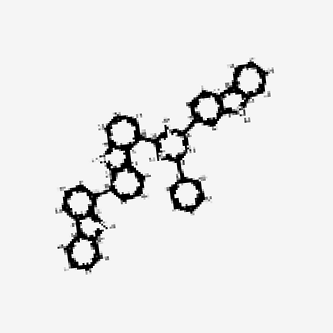 c1ccc(-c2nc(-c3ccc4c(c3)oc3ccccc34)nc(-c3cccc4oc5c(-c6cccc7c6sc6ccccc67)cccc5c34)n2)cc1